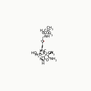 Cc1n[nH]c2c1C(c1cc(C#CC34CC(CNC(=O)OC(C)(C)C)(C3)C4)cc(CO)c1)(C(C)C)C(C#N)=C(N)O2